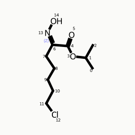 CC(C)OC(=O)/C(CCCCCCl)=N\O